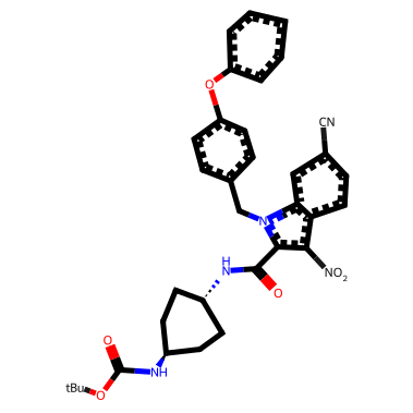 CC(C)(C)OC(=O)N[C@H]1CC[C@H](NC(=O)c2c([N+](=O)[O-])c3ccc(C#N)cc3n2Cc2ccc(Oc3ccccc3)cc2)CC1